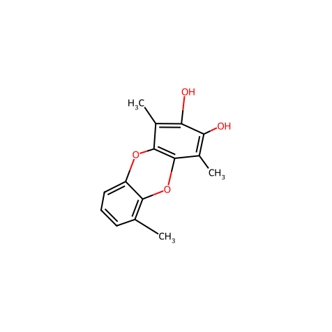 Cc1cccc2c1Oc1c(C)c(O)c(O)c(C)c1O2